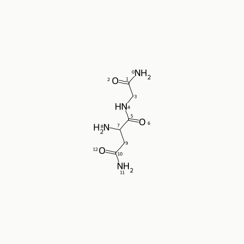 NC(=O)CNC(=O)C(N)CC(N)=O